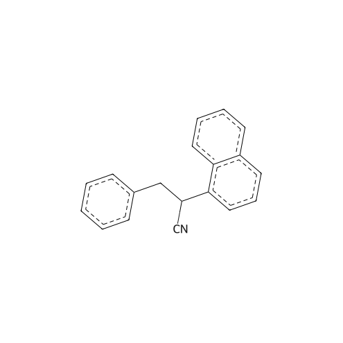 N#CC(Cc1ccccc1)c1cccc2ccccc12